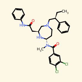 CC[C@H](CN1CC[C@H](N(C)C(=O)c2ccc(Cl)c(Cl)c2)N[C@@H](CC(=O)Nc2ccccc2)C1)c1ccccc1